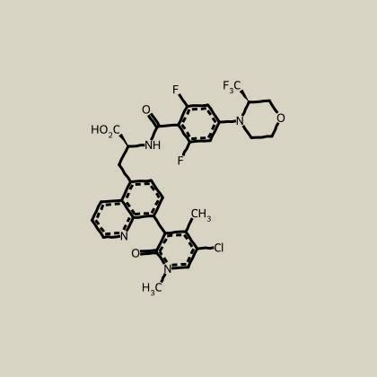 Cc1c(Cl)cn(C)c(=O)c1-c1ccc(C[C@H](NC(=O)c2c(F)cc(N3CCOC[C@@H]3C(F)(F)F)cc2F)C(=O)O)c2cccnc12